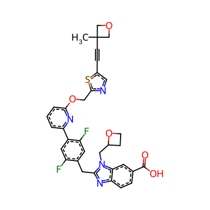 CC1(C#Cc2cnc(COc3cccc(-c4cc(F)c(Cc5nc6ccc(C(=O)O)cc6n5CC5CCO5)cc4F)n3)s2)COC1